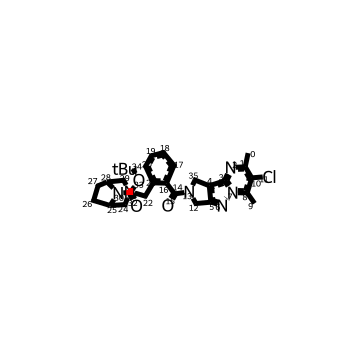 Cc1nc2c3c(nn2c(C)c1Cl)CN(C(=O)c1ccccc1CN1CC2CCC(C1)N2C(=O)OC(C)(C)C)C3